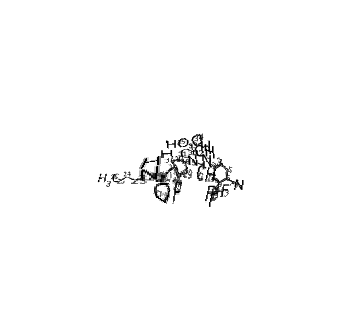 C=C(Nc1ccc(C#N)c(C(F)(F)F)c1)N(c1ccc(C(=O)NCCCC)c(F)c1)C(C)(C)C(=O)O